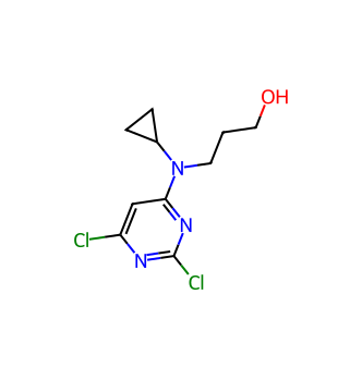 OCCCN(c1cc(Cl)nc(Cl)n1)C1CC1